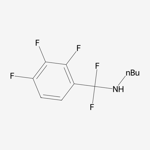 CCCCNC(F)(F)c1ccc(F)c(F)c1F